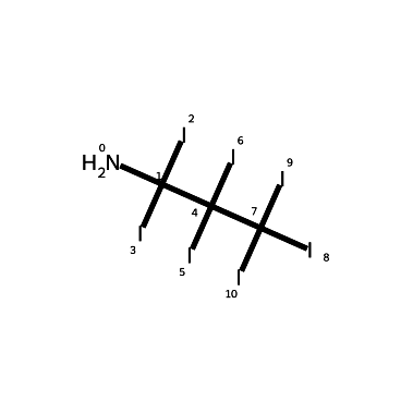 NC(I)(I)C(I)(I)C(I)(I)I